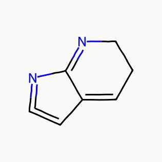 C1=CC2=CCCN=C2N=1